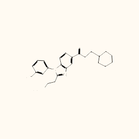 O=C(O)CCc1nc2cc(C(=O)CCC3CCCCC3)ccc2n1-c1cccc(Cl)c1